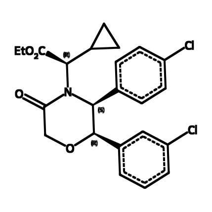 CCOC(=O)[C@@H](C1CC1)N1C(=O)CO[C@H](c2cccc(Cl)c2)[C@@H]1c1ccc(Cl)cc1